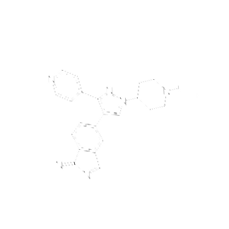 CN1CCC(n2cc(-c3ccc4c(c3)C=NC4=N)c(-c3ccncc3)n2)CC1